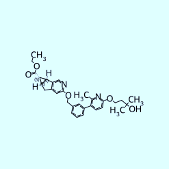 CCOC(=O)[C@H]1[C@@H]2Cc3cc(OCc4cccc(-c5ccc(OCCC(C)(C)O)nc5C)c4)ncc3[C@@H]21